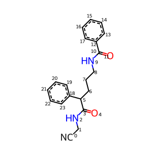 N#CCNC(=O)C(CCCNC(=O)c1ccccc1)c1ccccc1